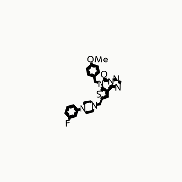 COc1ccc(Cn2c(=O)n3ncnc3c3cc(CN4CCN(c5cccc(F)c5)CC4)sc32)cc1